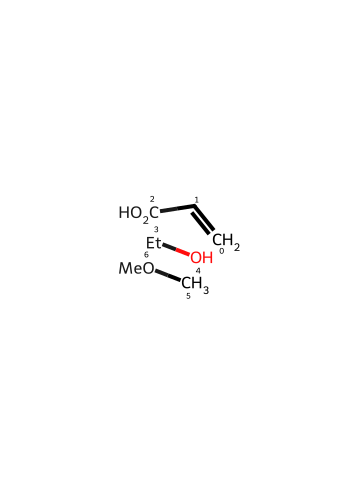 C=CC(=O)O.CCO.COC